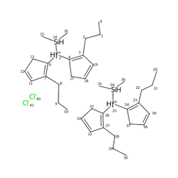 CCCC1=[C]([Hf+]([C]2=C(CCC)C=CC2)[SiH](C)C)CC=C1.CCCC1=[C]([Hf+]([C]2=C(CCC)C=CC2)[SiH](C)C)CC=C1.[Cl-].[Cl-]